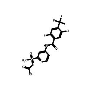 CS(=O)(=NC(=O)O)c1cc(NC(=O)c2cc(Cl)c(C(F)(F)F)cc2F)ccn1